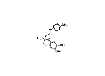 CC(=O)Oc1cc2c(cc1C(C)(C)C)OC(C)(CCOc1ccc(N)cc1)CC2